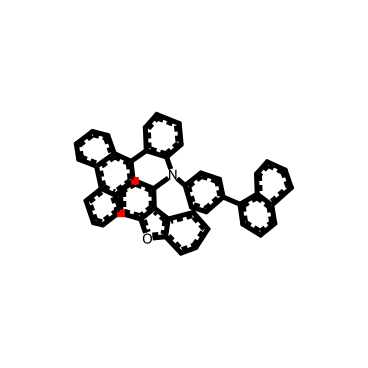 c1ccc(N(c2ccc(-c3cccc4ccccc34)cc2)c2cccc3oc4ccccc4c23)c(-c2cc3ccccc3c3ccccc23)c1